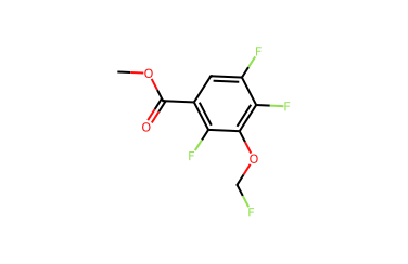 COC(=O)c1cc(F)c(F)c(OCF)c1F